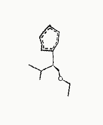 CCOC[C@H](c1ccccc1)C(C)C